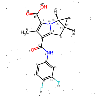 Cc1c(C(=O)Nc2ccc(F)c(F)c2)c2n(c1C(=O)O)[C@@H]1C[C@@H]1C2